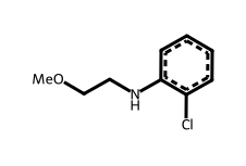 COCCNc1ccccc1Cl